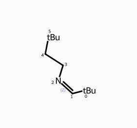 CC(C)(C)/C=N\CCC(C)(C)C